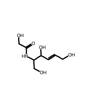 O=C(CO)NC(CO)C(O)C=CCO